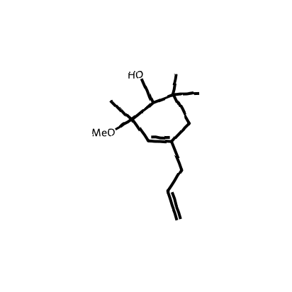 C=CCC1=CC(C)(OC)C(O)C(C)(C)C1